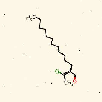 CCCCCCCCCCCCC(C=O)=C(C)Cl